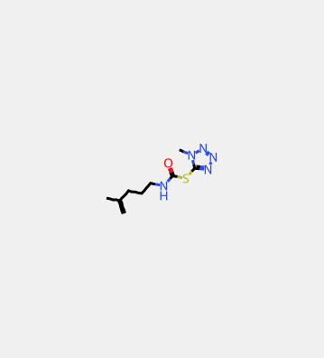 C=C(C)CCCNC(=O)Sc1nnnn1C